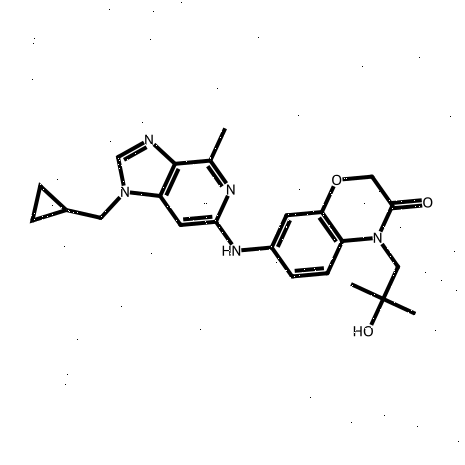 Cc1nc(Nc2ccc3c(c2)OCC(=O)N3CC(C)(C)O)cc2c1ncn2CC1CC1